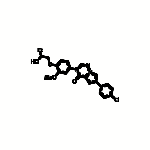 CCC(O)COc1ccc(-n2cnn3cc(-c4ccc(Cl)cc4)cc3c2=O)cc1OC